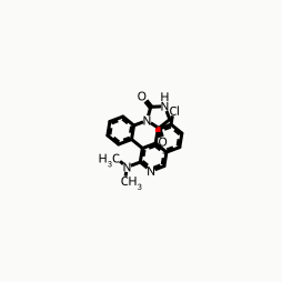 CN(C)c1ncc2ccc(Cl)cc2c1-c1ccccc1N1C(=O)CNC1=O